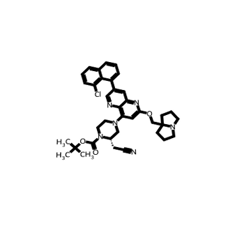 CC(C)(C)OC(=O)N1CCN(c2cc(OCC34CCCN3CCC4)nc3cc(-c4cccc5cccc(Cl)c45)cnc23)C[C@@H]1CC#N